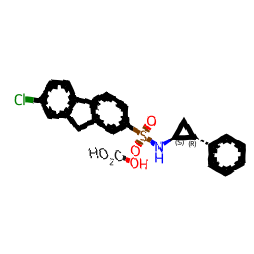 O=C(O)O.O=S(=O)(N[C@H]1C[C@@H]1c1ccccc1)c1ccc2c(c1)Cc1cc(Cl)ccc1-2